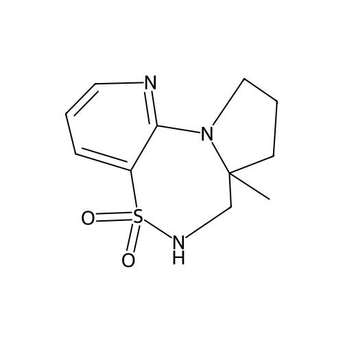 CC12CCCN1c1ncccc1S(=O)(=O)NC2